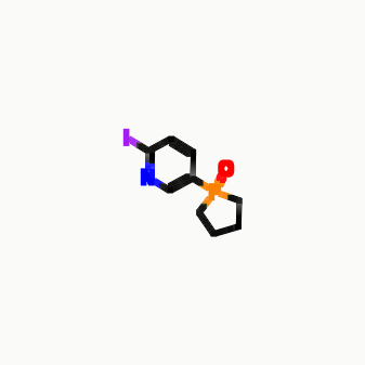 O=P1(c2ccc(I)nc2)CCCC1